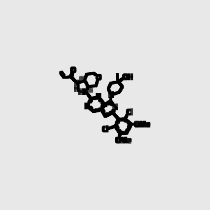 C=CC(=O)N[C@H]1CCOC[C@H]1Nc1ncc2cc(-c3c(Cl)c(OC)cc(OC)c3Cl)nc(N3CCC(C)(O)CC3)c2n1